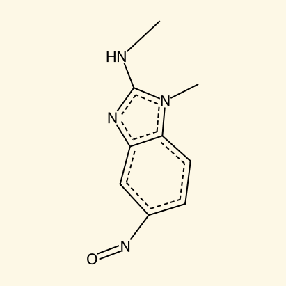 CNc1nc2cc(N=O)ccc2n1C